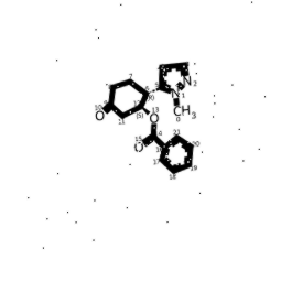 Cn1nccc1[C@H]1CCC(=O)C[C@@H]1OC(=O)c1ccccc1